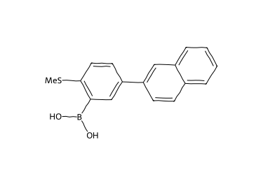 CSc1ccc(-c2ccc3ccccc3c2)cc1B(O)O